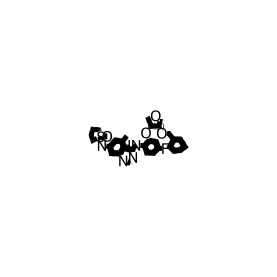 Cc1cc(N=S2(=O)CCCC2)cc2ncnc(Nc3ccc(F)cc3O[C@@H]3COC[C@@H]3OCc3ccccc3)c12